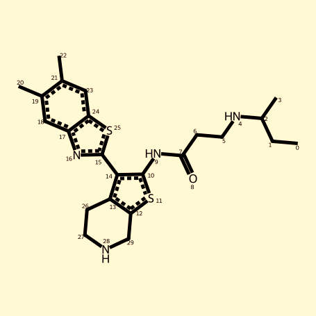 CCC(C)NCCC(=O)Nc1sc2c(c1-c1nc3cc(C)c(C)cc3s1)CCNC2